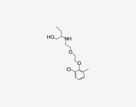 CCC(CO)NCCOCCOc1c(C)cccc1Cl